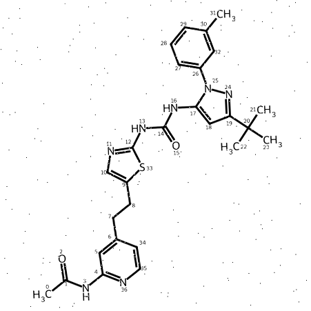 CC(=O)Nc1cc(CCc2cnc(NC(=O)Nc3cc(C(C)(C)C)nn3-c3cccc(C)c3)s2)ccn1